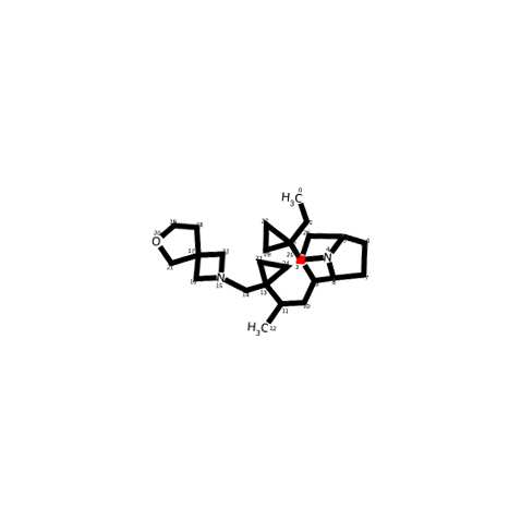 CCC1(CN2C3CCC2C(CC(C)C2(CN4CC5(CCOC5)C4)CC2)OC3)CC1